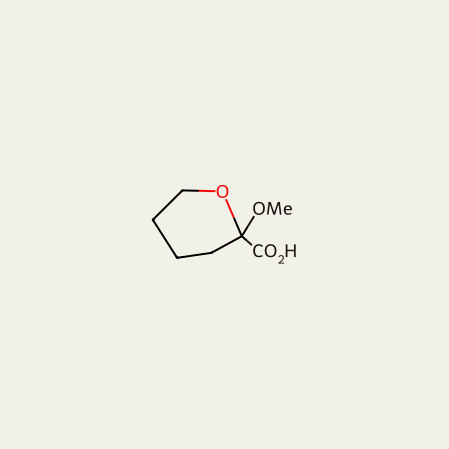 COC1(C(=O)O)CCCCO1